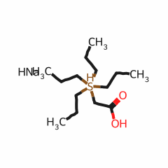 CCC[SH](CCC)(CCC)(CCC)CC(=O)O.[NaH]